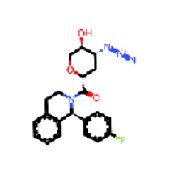 [N-]=[N+]=N[C@@H]1C[C@H](C(=O)N2CCc3ccccc3[C@@H]2c2ccc(F)cc2)OC[C@H]1O